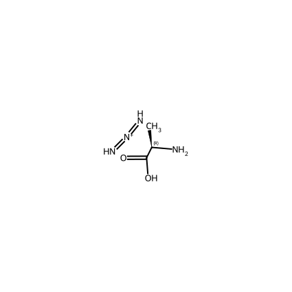 C[C@@H](N)C(=O)O.N=[N+]=N